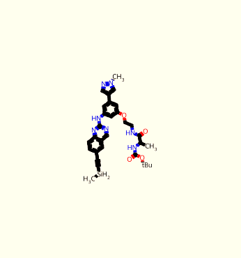 C[SiH2]C#Cc1ccc2nc(Nc3cc(OCCNC(=O)C(C)NC(=O)OC(C)(C)C)cc(-c4cnn(C)c4)c3)ncc2c1